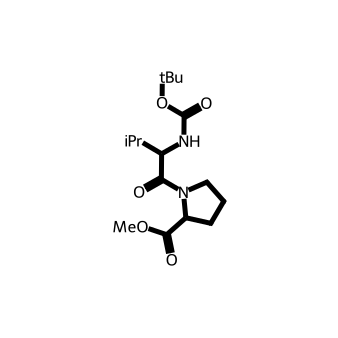 COC(=O)C1CCCN1C(=O)C(NC(=O)OC(C)(C)C)C(C)C